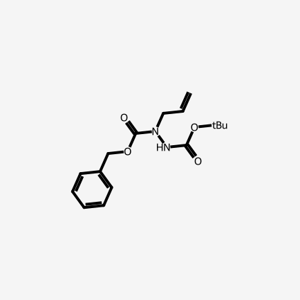 C=CCN(NC(=O)OC(C)(C)C)C(=O)OCc1ccccc1